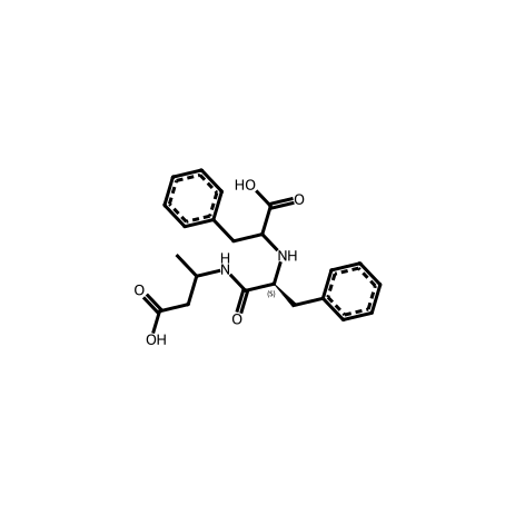 CC(CC(=O)O)NC(=O)[C@H](Cc1ccccc1)NC(Cc1ccccc1)C(=O)O